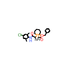 CCCC(C(=O)Nc1c(C)cc(Cl)cc1C)[PH]1(CC(=O)OCc2ccccc2)CCCCCC1